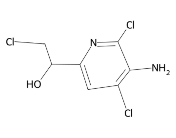 Nc1c(Cl)cc(C(O)CCl)nc1Cl